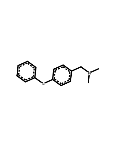 CN(C)Cc1ccc([N]c2ccccc2)cc1